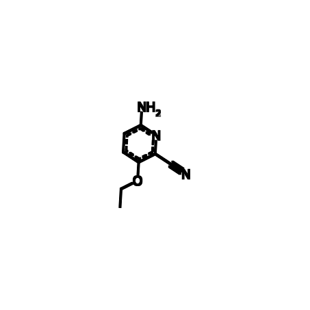 CCOc1ccc(N)nc1C#N